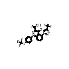 O=C(O)c1nn(-c2ccc(OC(F)(F)F)cc2)c2cccc(-n3cc(C(F)(F)F)nn3)c2c1=O